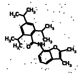 Cc1oc2c(NC(=O)c3c(C(C)C)cc(C(C)C)cc3C(C)C)cccc2c1C